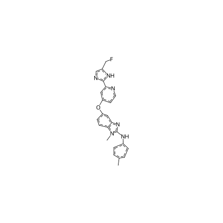 Cc1ccc(Nc2nc3cc(Oc4ccnc(-c5ncc(CF)[nH]5)c4)ccc3n2C)cc1